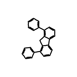 c1ccc(-c2cccc3c2Cc2c(-c4ccccc4)cccc2-3)cc1